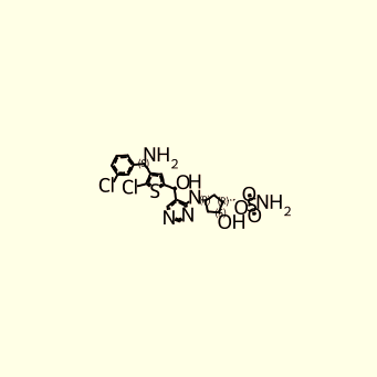 N[C@@H](c1cccc(Cl)c1)c1cc(C(=O)c2cncnc2N[C@@H]2C[C@H](COS(N)(=O)=O)[C@@H](O)C2)sc1Cl